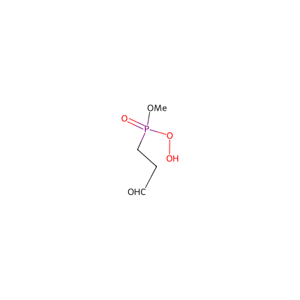 COP(=O)(CCC=O)OO